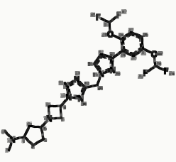 CN(C)C1CCC(N2CC(n3nnc(Cn4ccc(-c5cc(OC(F)F)ccc5OC(F)F)n4)n3)C2)C1